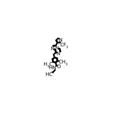 C#CCNC(=O)c1c(C)cc(Cc2nccn3c(C4=CCN=C4C(F)(F)F)cnc23)cc1C